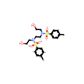 Cc1ccc(S(=O)(=O)N(CCO)CCN(CCO)S(=O)(=O)c2ccc(C)cc2)cc1